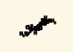 C[C@H](N)CCCc1cc(Cl)c(F)c(-c2cc3cn(-c4ccc([C@H](N)C(=O)NCCN)cc4)c(=O)nc3[nH]2)c1